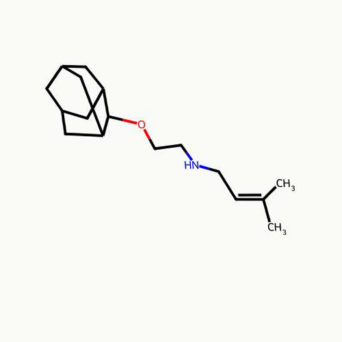 CC(C)=CCNCCOC1C2CC3CC(C2)CC1C3